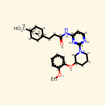 CCOc1ccccc1OC1CCCN(c2nccc(NC(=O)CCC34CCC(C(=O)O)(CC3)CC4)n2)C1